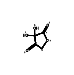 O=C1COC(=O)C1(O)O